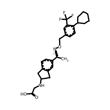 C/C(=N\OCc1ccc(C2CCCCC2)c(C(F)(F)F)c1)c1ccc2c(c1)CC(NCC(=O)O)C2